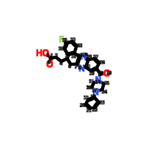 O=C(O)CCCCc1nc2cc(C(=O)N3CCN(c4ccccc4)CC3)ccc2nc1-c1ccc(F)cc1